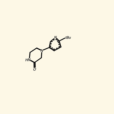 CC(C)(C)c1ccc(N2CCNC(=O)C2)cn1